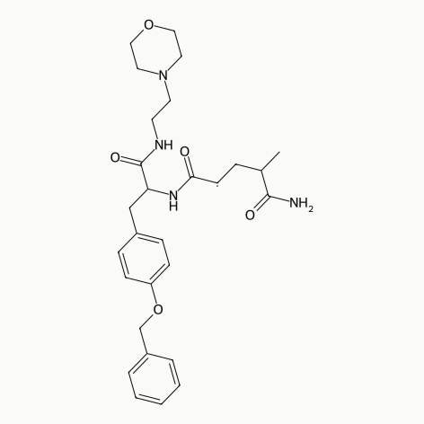 CC(C[CH]C(=O)NC(Cc1ccc(OCc2ccccc2)cc1)C(=O)NCCN1CCOCC1)C(N)=O